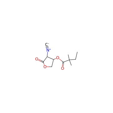 [C-]#[N+]C1C(=O)OCC1OC(=O)C(C)(C)CC